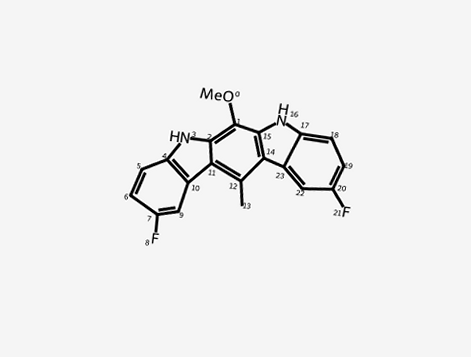 COc1c2[nH]c3ccc(F)cc3c2c(C)c2c1[nH]c1ccc(F)cc12